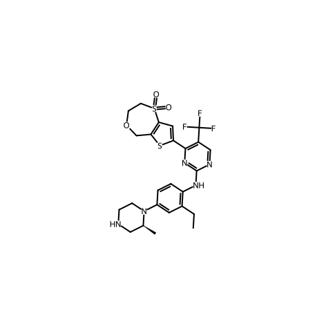 CCc1cc(N2CCNC[C@@H]2C)ccc1Nc1ncc(C(F)(F)F)c(-c2cc3c(s2)COCCS3(=O)=O)n1